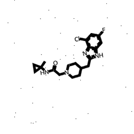 CC1(NC(=O)CN2CCC(Cc3nc4c(Cl)cc(F)cc4[nH]3)CC2)CC1